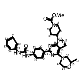 COC(=O)N1CCC(n2ncc3c(N4CCOC(C)C4)nc(-c4ccc(NC(=O)Nc5ccccc5)cc4)nc32)CC1